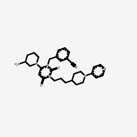 N#Cc1cccc(Cn2c(N3CCCC(N)C3)cc(=O)n(CCCC3CCN(c4ccncc4)CC3)c2=O)c1